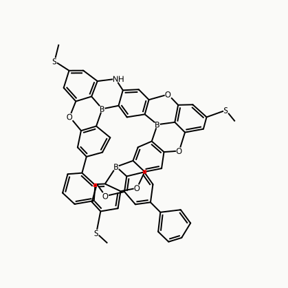 CSc1cc2c3c(c1)Oc1cc(-c4ccccc4)ccc1B3c1cc3c(cc1N2)Oc1cc(SC)cc2c1B3c1cc3c(cc1O2)Oc1cc(SC)cc2c1B3c1ccc(-c3ccccc3)cc1O2